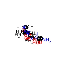 CC[C@H](C)[C@H](NC(=O)[C@H]1C[C@H](C)CCN1C)C(=O)N(CC)[C@H](C[C@@H](OC(C)=O)c1nc(C(=O)NC2Cc3ccc(N)cc3[C@H](C(=O)O)C2)cs1)C(C)C